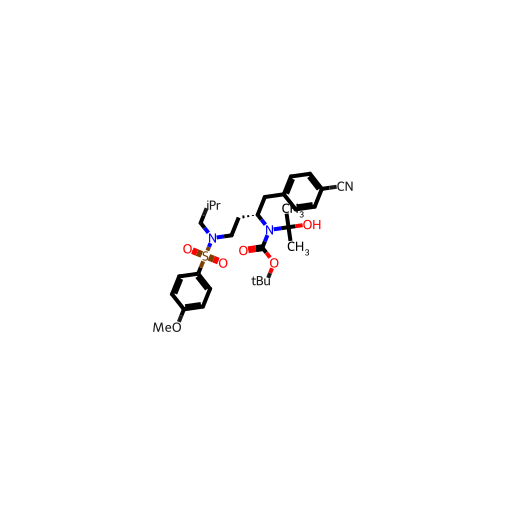 COc1ccc(S(=O)(=O)N(CC[C@H](Cc2ccc(C#N)cc2)N(C(=O)OC(C)(C)C)C(C)(C)O)CC(C)C)cc1